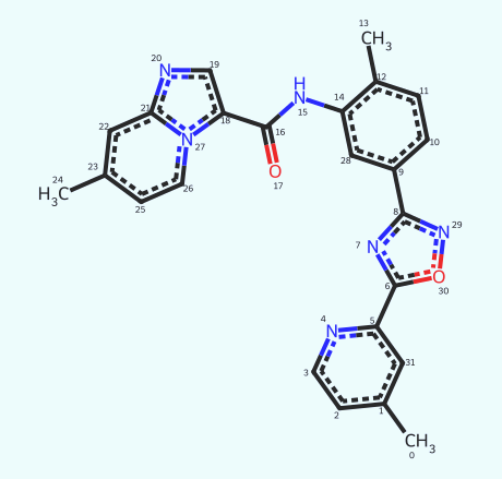 Cc1ccnc(-c2nc(-c3ccc(C)c(NC(=O)c4cnc5cc(C)ccn45)c3)no2)c1